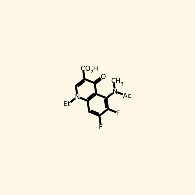 CCn1cc(C(=O)O)c(=O)c2c(N(C)C(C)=O)c(F)c(F)cc21